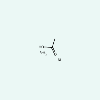 CC(=O)O.[Ni].[SrH2]